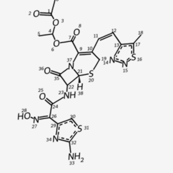 CC(=O)OC(C)OC(=O)C1=C(/C=C\c2nnsc2C)CS[C@@H]2C(NC(=O)/C(=N\O)c3csc(N)n3)C(=O)N12